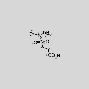 CCCCN(CC)S(=O)(=O)CCC(=O)O